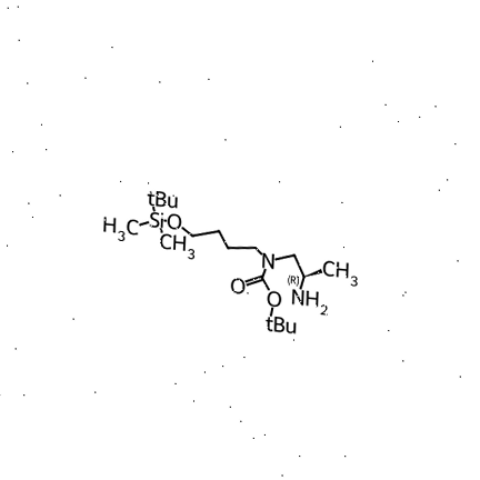 C[C@@H](N)CN(CCCCO[Si](C)(C)C(C)(C)C)C(=O)OC(C)(C)C